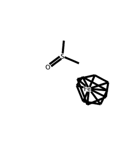 CS(C)=O.[CH]12[CH]3[CH]4[CH]5[CH]1[Fe]23451678[CH]2[CH]1[CH]6[CH]7[CH]28